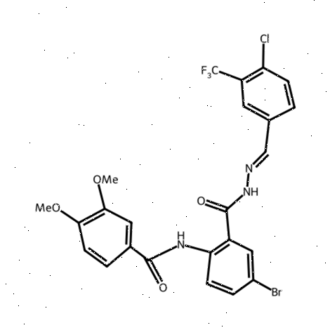 COc1ccc(C(=O)Nc2ccc(Br)cc2C(=O)N/N=C/c2ccc(Cl)c(C(F)(F)F)c2)cc1OC